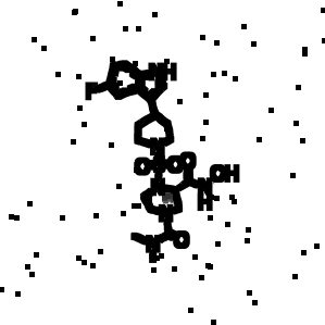 CN(C)C(=O)N1CCN(S(=O)(=O)N2CCC(c3c[nH]c4ccc(F)cc34)CC2)[C@@H](C(=O)NO)C1